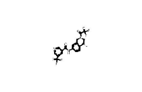 C[C@H]1CN(C(=O)C(F)(F)F)Cc2cc(NC(=O)c3cncc(C(F)(F)F)c3)ccc21